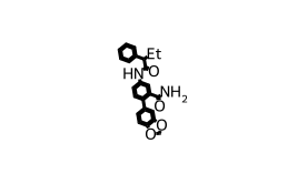 CCC(C(=O)Nc1ccc(-c2ccc3c(c2)OCO3)c(C(N)=O)c1)c1ccccc1